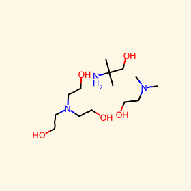 CC(C)(N)CO.CN(C)CCO.OCCN(CCO)CCO